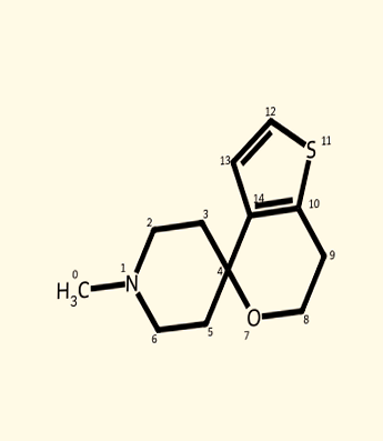 CN1CCC2(CC1)OCCc1sccc12